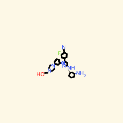 N#Cc1ccc(-c2cc(NC[C@H]3CCC[C@H](N)C3)nn2-c2cccc(N3CCN(CCO)CC3)c2)cc1F